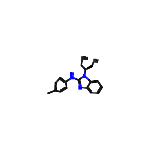 Cc1ccc(Nc2nc3ccccc3n2[C@H](CC(C)C)CC(C)(C)C)cc1